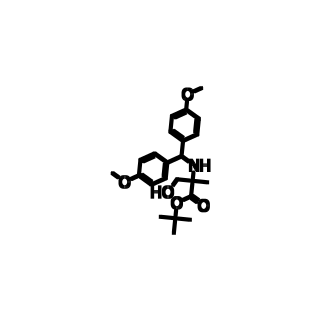 COc1ccc(C(NC(C)(CO)C(=O)OC(C)(C)C)c2ccc(OC)cc2)cc1